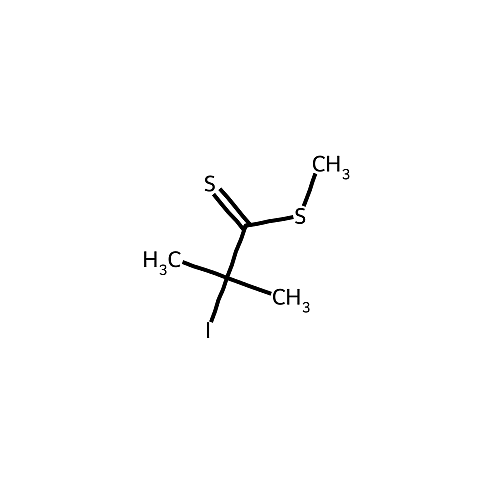 CSC(=S)C(C)(C)I